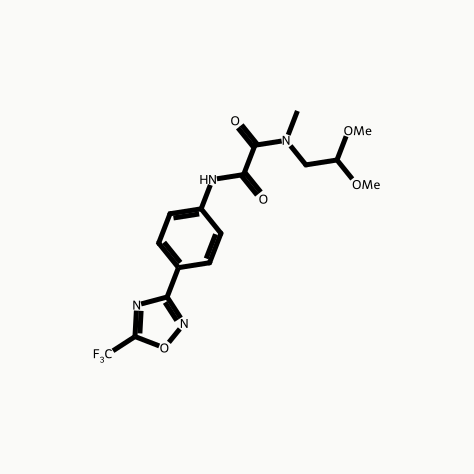 COC(CN(C)C(=O)C(=O)Nc1ccc(-c2noc(C(F)(F)F)n2)cc1)OC